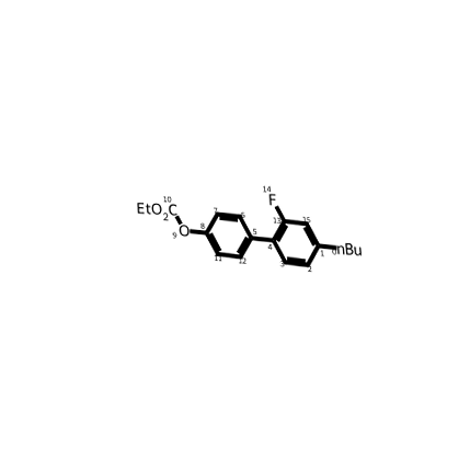 CCCCc1ccc(-c2ccc(OC(=O)OCC)cc2)c(F)c1